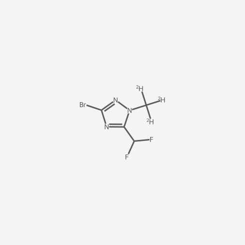 [2H]C([2H])([2H])n1nc(Br)nc1C(F)F